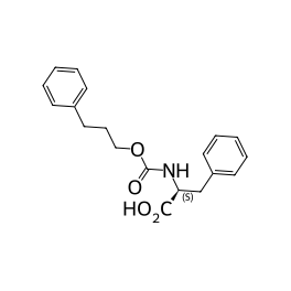 O=C(N[C@@H](Cc1ccccc1)C(=O)O)OCCCc1ccccc1